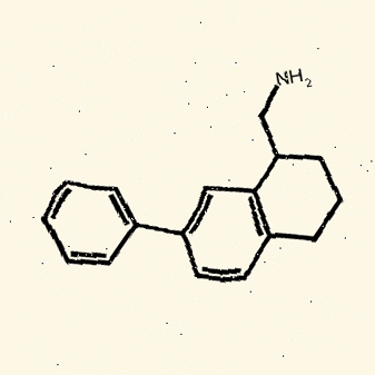 NCC1CCCc2ccc(-c3ccccc3)cc21